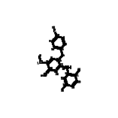 COc1cn(Cc2ccc(F)cc2)c(Nc2cc(C)ccc2C)nc1=O